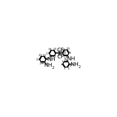 Nc1ccccc1Nc1cccc(C(c2cccc(Nc3ccccc3N)c2)(C(F)(F)F)C(F)(F)F)c1